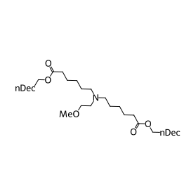 CCCCCCCCCCCOC(=O)CCCCCN(CCCCCC(=O)OCCCCCCCCCCC)CCOC